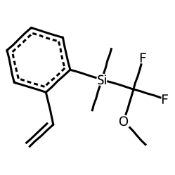 C=Cc1ccccc1[Si](C)(C)C(F)(F)OC